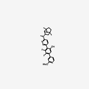 COc1cc(-c2cc(O)c(-c3ccc(N(C)C4C[C@]5(C)CC[C@](C)(C4)N5)nn3)c(F)c2F)ccn1